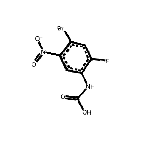 O=C(O)Nc1cc([N+](=O)[O-])c(Br)cc1F